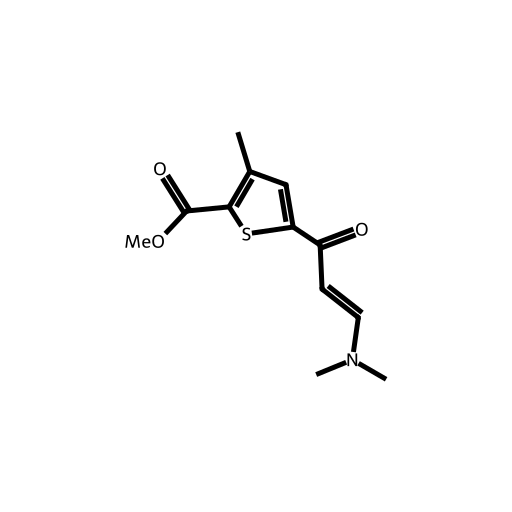 COC(=O)c1sc(C(=O)/C=C/N(C)C)cc1C